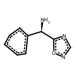 N[C@H](c1ccccc1)c1n[c]no1